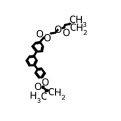 C=C(C)CC(=O)OCCOC(=O)c1ccc(-c2cccc(-c3ccc(OC(=O)C(=C)C)cc3)c2)cc1